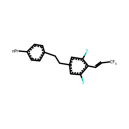 CCCc1ccc(CCc2cc(F)c(/C=C/C(F)(F)F)c(F)c2)cc1